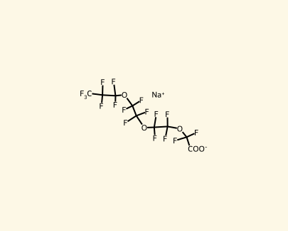 O=C([O-])C(F)(F)OC(F)(F)C(F)(F)OC(F)(F)C(F)(F)OC(F)(F)C(F)(F)C(F)(F)F.[Na+]